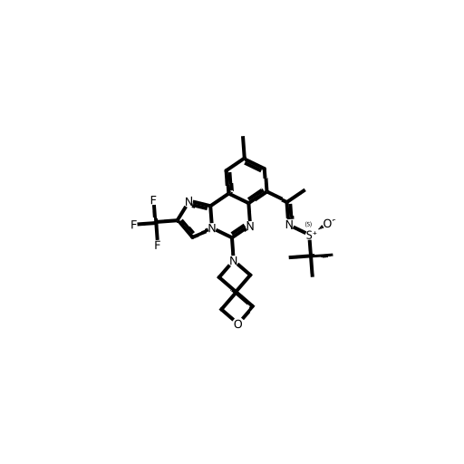 CC(=N[S@+]([O-])C(C)(C)C)c1cc(C)cc2c1nc(N1CC3(COC3)C1)n1cc(C(F)(F)F)nc21